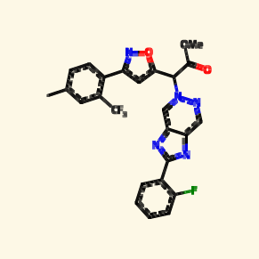 COC(=O)C(c1cc(-c2ccc(C)cc2C(F)(F)F)no1)n1cc2nc(-c3ccccc3F)nc-2cn1